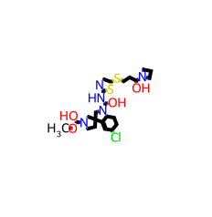 COC(O)N1CCC2(C1)CN(C(O)NC1=NCC(SCCC(O)N3CCC3)S1)C1CCC(Cl)C=C12